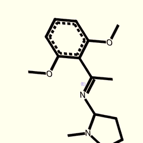 COc1cccc(OC)c1/C(C)=N/C1CCCN1C